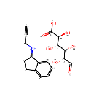 C#CCN[C@@H]1CCc2ccccc21.O=C[C@H](O)[C@@H](O)[C@H](O)[C@H](O)C(=O)O